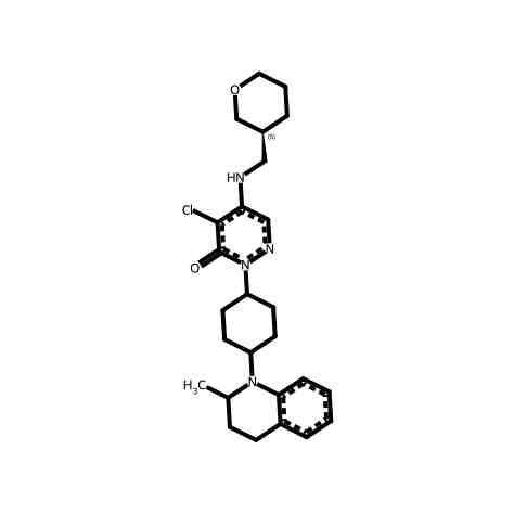 CC1CCc2ccccc2N1C1CCC(n2ncc(NC[C@@H]3CCCOC3)c(Cl)c2=O)CC1